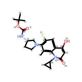 Cc1c(N2CC[C@H](NC(=O)OC(C)(C)C)C2)c(F)cc2c(O)cc(=O)n(C3CC3)c12